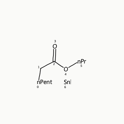 CCCCCCC(=O)OCCC.[Sn]